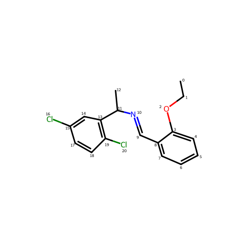 CCOc1ccccc1C=NC(C)c1cc(Cl)ccc1Cl